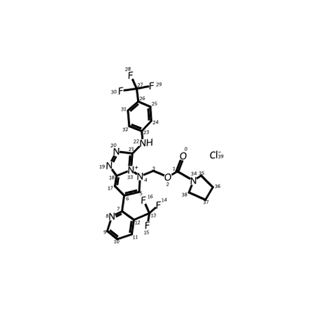 O=C(OCn1cc(-c2ncccc2C(F)(F)F)cc2nnc(Nc3ccc(C(F)(F)F)cc3)[n+]1-2)N1CCCC1.[Cl-]